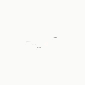 [CH2]CCCCOCCC(C)CCCC(C)C